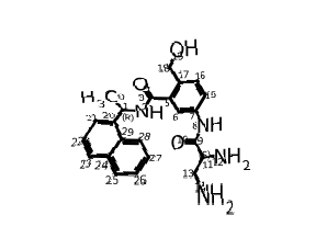 C[C@@H](NC(=O)c1cc(NC(=O)[C@@H](N)CN)ccc1CO)c1cccc2ccccc12